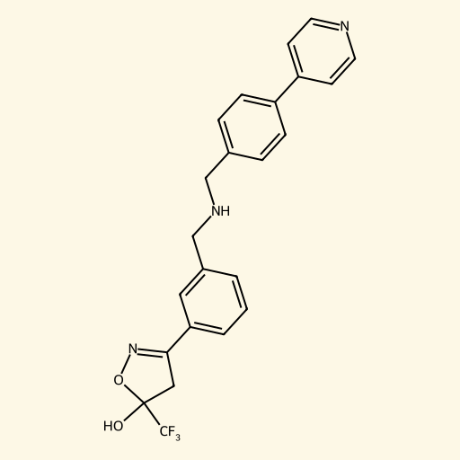 OC1(C(F)(F)F)CC(c2cccc(CNCc3ccc(-c4ccncc4)cc3)c2)=NO1